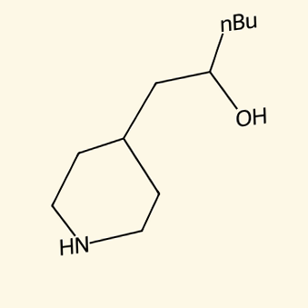 CCCCC(O)CC1CCNCC1